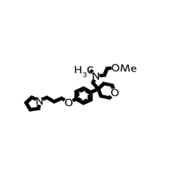 COCCN(C)CC1(c2ccc(OCCCN3CCCC3)cc2)CCOCC1